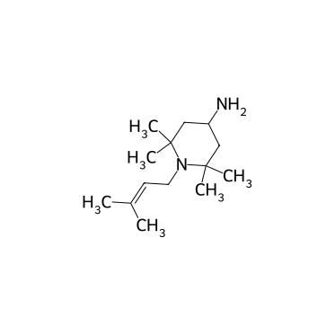 CC(C)=CCN1C(C)(C)CC(N)CC1(C)C